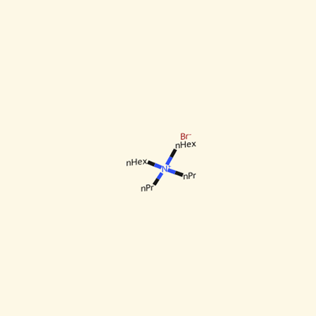 CCCCCC[N+](CCC)(CCC)CCCCCC.[Br-]